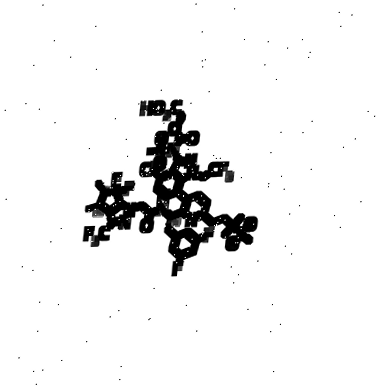 C[C@@H]1c2c(C(F)(F)F)nn(CC(=O)N[C@@H](Cc3cc(F)cc(F)c3)c3nc(CCC(C)(C)S(C)(=O)=O)ccc3-c3ccc(Cl)c4c(N(C(=O)OCC(=O)O)S(C)(=O)=O)nn(CC(F)(F)F)c34)c2C(F)(F)[C@@H]1C